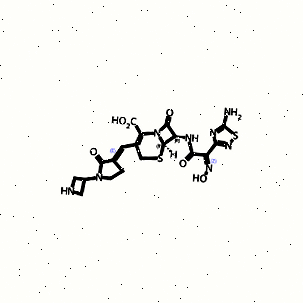 Nc1nc(/C(=N/O)C(=O)N[C@@H]2C(=O)N3C(C(=O)O)=C(/C=C4\CCN(C5CNC5)C4=O)CS[C@H]23)ns1